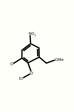 CCOc1c(Cl)cc([N+](=O)[O-])cc1COC